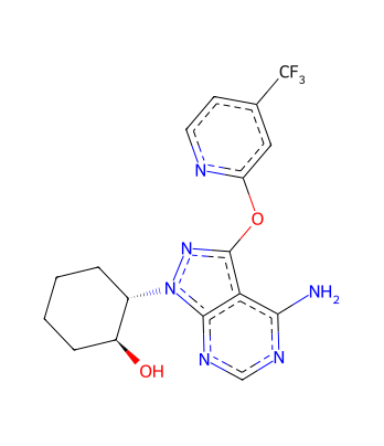 Nc1ncnc2c1c(Oc1cc(C(F)(F)F)ccn1)nn2[C@H]1CCCC[C@@H]1O